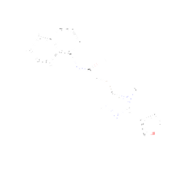 CCn1c(SCC(=O)Nc2cccc3ccccc23)nnc1-c1ccoc1